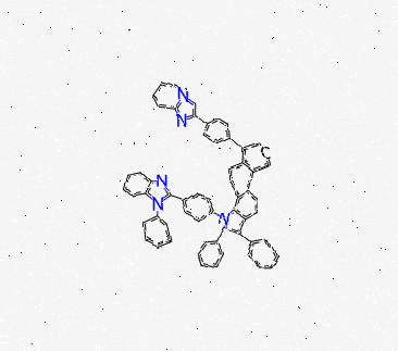 c1ccc(-c2c(-c3ccccc3)n(-c3ccc(-c4nc5ccccc5n4-c4ccccc4)cc3)c3c2ccc2c4cccc(-c5ccc(-c6cn7ccccc7n6)cc5)c4ccc23)cc1